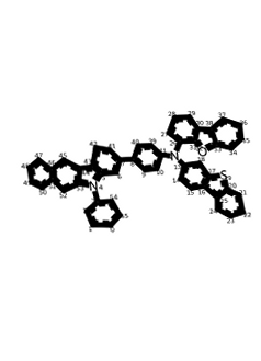 c1ccc(-n2c3cc(-c4ccc(N(c5ccc6c(c5)sc5ccccc56)c5cccc6c5oc5ccccc56)cc4)ccc3c3cc4ccccc4cc32)cc1